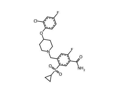 NC(=O)c1cc(S(=O)(=O)C2CC2)c(CN2CCC(Oc3ccc(F)cc3Cl)CC2)cc1F